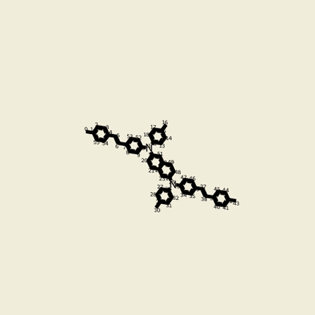 Cc1ccc(/C=C/c2ccc(N(c3ccc(C)cc3)c3ccc4cc(N(c5ccc(C)cc5)c5ccc(/C=C/c6ccc(C)cc6)cc5)ccc4c3)cc2)cc1